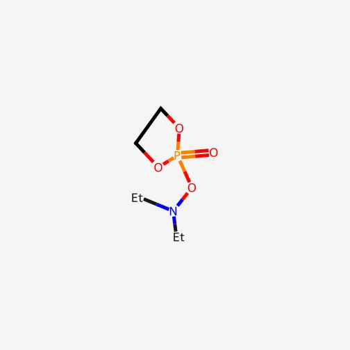 CCN(CC)OP1(=O)OCCO1